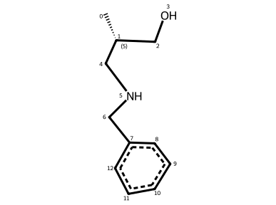 C[C@H](CO)CNCc1ccccc1